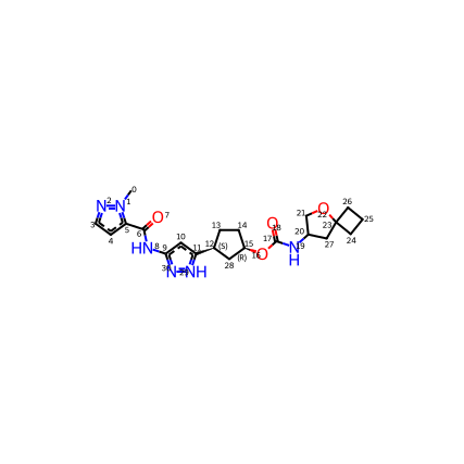 Cn1nccc1C(=O)Nc1cc([C@H]2CC[C@@H](OC(=O)NC3COC4(CCC4)C3)C2)[nH]n1